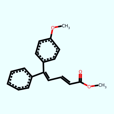 COC(=O)C=CC=C(c1ccccc1)c1ccc(OC)cc1